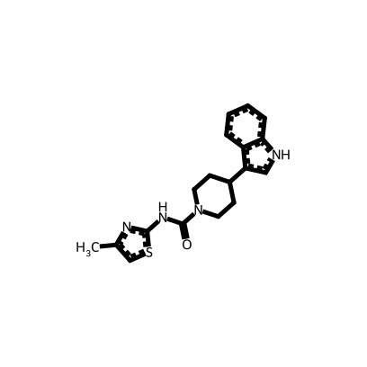 Cc1csc(NC(=O)N2CCC(c3c[nH]c4ccccc34)CC2)n1